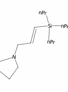 CCC[Si](C=CCN1CCCC1)(CCC)CCC